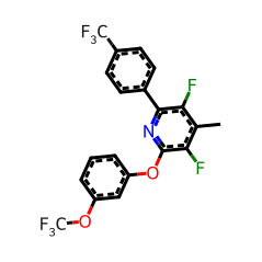 Cc1c(F)c(Oc2cccc(OC(F)(F)F)c2)nc(-c2ccc(C(F)(F)F)cc2)c1F